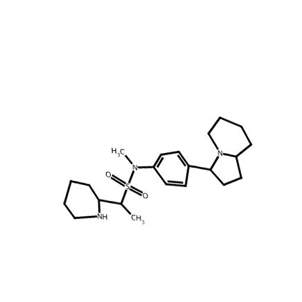 CC(C1CCCCN1)S(=O)(=O)N(C)c1ccc(C2CCC3CCCCN32)cc1